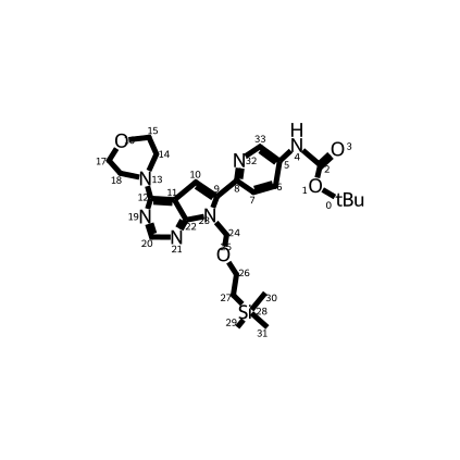 CC(C)(C)OC(=O)Nc1ccc(-c2cc3c(N4CCOCC4)ncnc3n2COCC[Si](C)(C)C)nc1